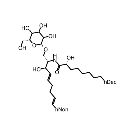 CCCCCCCCC/C=C/CC/C=C/[C@@H](O)[C@H](CO[C@@H]1O[C@H](CO)[C@@H](O)C(O)C1O)NC(=O)[C@H](O)CCCCCCCCCCCCCCCC